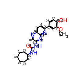 COc1cc(-c2ccc3ncc(NC(=O)NC4CCCCCC4)nc3n2)ccc1O